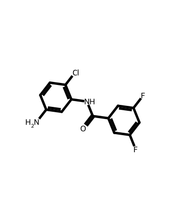 Nc1ccc(Cl)c(NC(=O)c2cc(F)cc(F)c2)c1